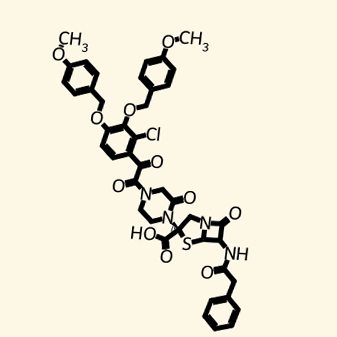 COc1ccc(COc2ccc(C(=O)C(=O)N3CCN([C@@]4(C(=O)O)CN5C(=O)C(NC(=O)Cc6ccccc6)C5S4)C(=O)C3)c(Cl)c2OCc2ccc(OC)cc2)cc1